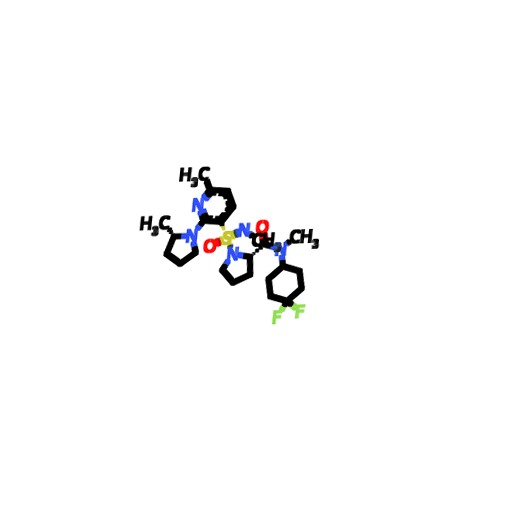 CN=[S@@](=O)(c1ccc(C)nc1N1CCC[C@@H]1C)N1CCC[C@H]1C(=O)N(C)C1CCC(F)(F)CC1